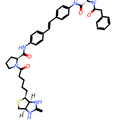 C=C1N[C@H]2[C@H](CS[C@H]2CCCCC(=O)N2CCC[C@H]2C(=O)Nc2ccc(/C=C/c3ccc(NC(=O)[C@@H]4CCCN4C(=O)Cc4ccccc4)cc3)cc2)N1